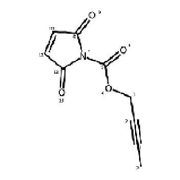 CC#CCOC(=O)N1C(=O)C=CC1=O